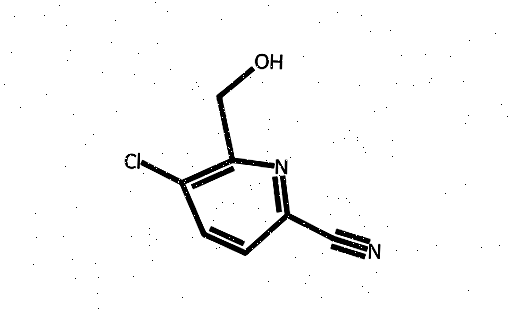 N#Cc1ccc(Cl)c(CO)n1